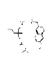 CCCC(C)(COC(N)=O)COC(=O)NC(C)C.COc1ccc2cc([C@H](C)C(=O)O)ccc2c1